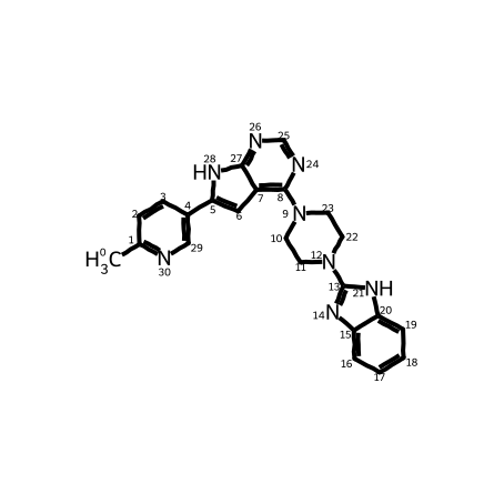 Cc1ccc(-c2cc3c(N4CCN(c5nc6ccccc6[nH]5)CC4)ncnc3[nH]2)cn1